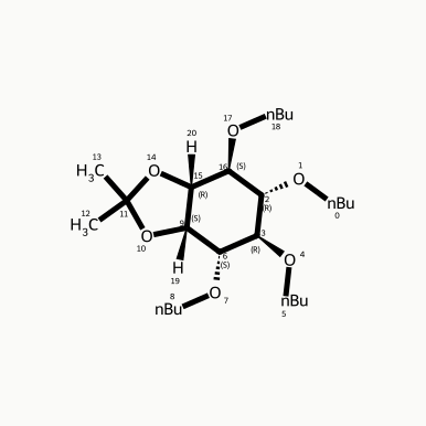 CCCCO[C@@H]1[C@@H](OCCCC)[C@H](OCCCC)[C@@H]2OC(C)(C)O[C@@H]2[C@H]1OCCCC